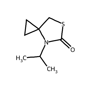 CC(C)N1C(=O)SCC12CC2